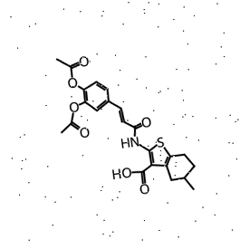 CC(=O)Oc1ccc(C=CC(=O)Nc2sc3c(c2C(=O)O)CC(C)CC3)cc1OC(C)=O